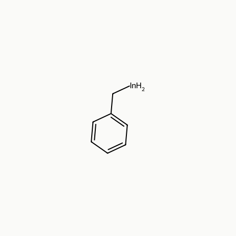 [InH2][CH2]c1ccccc1